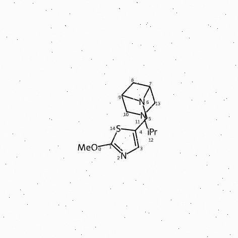 COc1ncc(CN2C3CC2CN(C(C)C)C3)s1